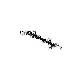 NOCNC(=O)CCOCCOCCNC(=O)COC=O